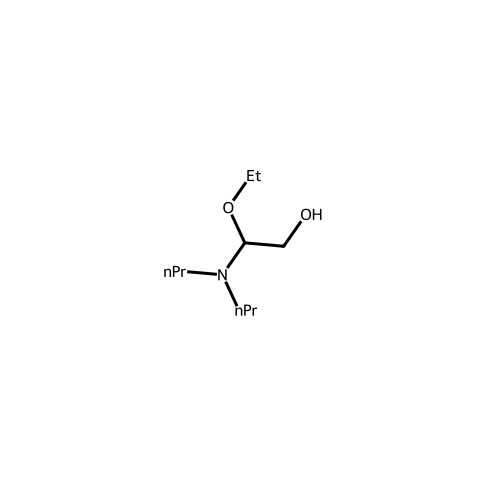 CCCN(CCC)C(CO)OCC